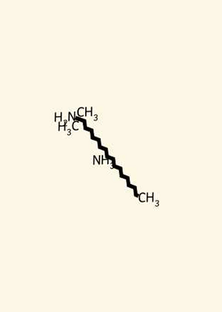 CCCCCCCCCCCCCCCCCC(C)(C)N.N